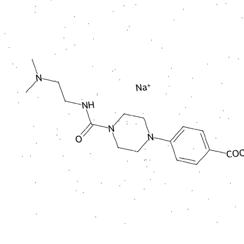 CN(C)CCNC(=O)N1CCN(c2ccc(C(=O)[O-])cc2)CC1.[Na+]